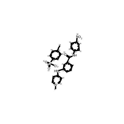 C[n+]1ccc(Nc2cccc(C(=O)Nc3ccc([N+](=O)[O-])cc3)c2)cc1.Cc1ccc(S(=O)(=O)[O-])cc1